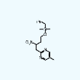 Cc1cnc(CC(CCO[Si](C)(C)CC(C)C)[N+](=O)[O-])nc1